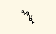 Fc1cc(C2CC2)ccc1OCc1cccc(SC2CCC2)n1